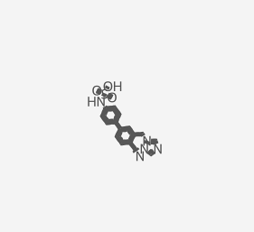 N#Cc1ccc(-c2ccc(NS(=O)(=O)O)cc2)cc1Cn1cncn1